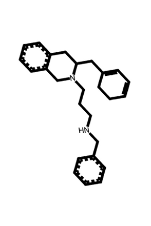 C1=CCCC(CC2Cc3ccccc3CN2CCCNCc2ccccc2)=C1